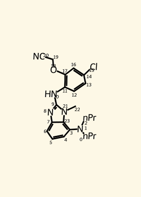 CCCN(CCC)c1cccc2nc(Nc3ccc(Cl)cc3OCC#N)n(C)c12